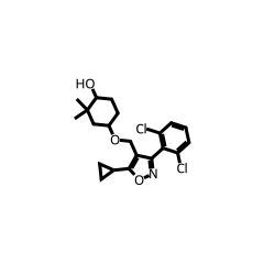 CC1(C)CC(OCc2c(-c3c(Cl)cccc3Cl)noc2C2CC2)CCC1O